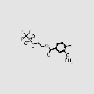 COc1cc(C(=O)OCCNS(=O)(=O)C(F)(F)F)ccc1I